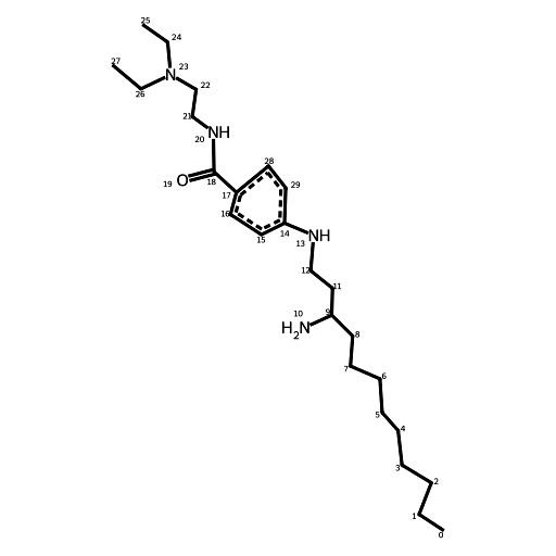 CCCCCCCCCC(N)CCNc1ccc(C(=O)NCCN(CC)CC)cc1